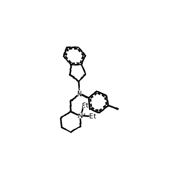 CC[N+]1(CC)CCCCC1CN(c1ccc(C)cc1)C1Cc2ccccc2C1